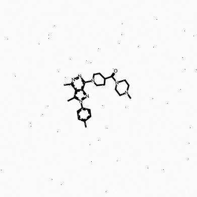 Cc1ccc(-n2nc3c(N4CCC(C(=O)N5CCN(C)CC5)CC4)nnc(C)c3c2C)cc1